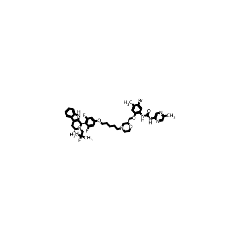 Cc1cnc(NC(=O)Nc2cc(Br)c(C)cc2OC[C@@H]2CN(CCCCCOc3cc(F)c([C@@H]4c5[nH]c6ccccc6c5C[C@@H](C)N4CC(C)(C)F)c(F)c3)CCO2)cn1